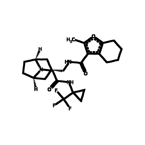 Cc1oc2c(c1C(=O)NC[C@@H]1C[C@H]3CC[C@@H](C1)N3CC(=O)NC1(C(F)(F)F)CC1)CCCC2